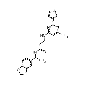 Cc1cc(NCCC(=O)NC(C)c2ccc3c(c2)OCO3)nc(-n2ccnc2)n1